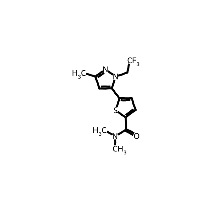 Cc1cc(-c2ccc(C(=O)N(C)C)s2)n(CC(F)(F)F)n1